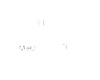 COC[N+]1(C)CCCC1.[Cl-]